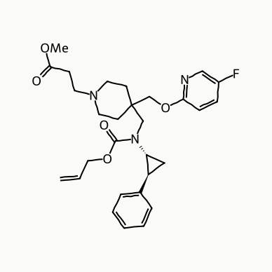 C=CCOC(=O)N(CC1(COc2ccc(F)cn2)CCN(CCC(=O)OC)CC1)[C@@H]1C[C@H]1c1ccccc1